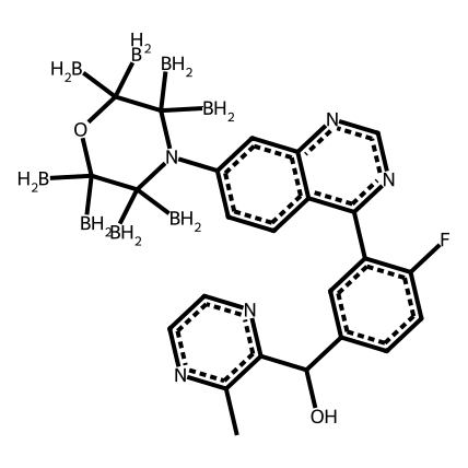 BC1(B)OC(B)(B)C(B)(B)N(c2ccc3c(-c4cc(C(O)c5nccnc5C)ccc4F)ncnc3c2)C1(B)B